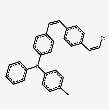 CC/C=C\c1ccc(/C=C\c2ccc(N(c3ccccc3)c3ccc(C)cc3)cc2)cc1